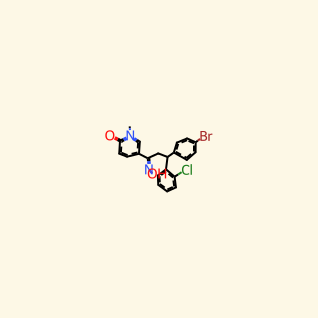 Cn1cc(/C(CC(c2ccc(Br)cc2)c2ccccc2Cl)=N/O)ccc1=O